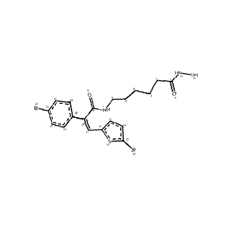 O=C(CCCCCNC(=O)C(=Cc1ccc(Br)s1)c1ccc(Br)cc1)NO